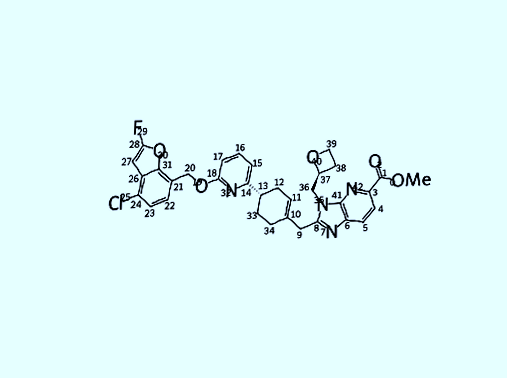 COC(=O)c1ccc2nc(CC3=CC[C@@H](c4cccc(OCc5ccc(Cl)c6cc(F)oc56)n4)CC3)n(C[C@@H]3CCO3)c2n1